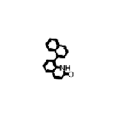 O=c1ccc2cccc(-c3cccc4ccccc34)c2[nH]1